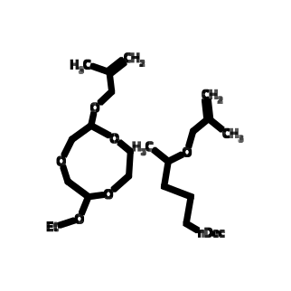 C=C(C)COC(C)CCCCCCCCCCCCC.C=C(C)COC1COCC(OCC)OCCO1